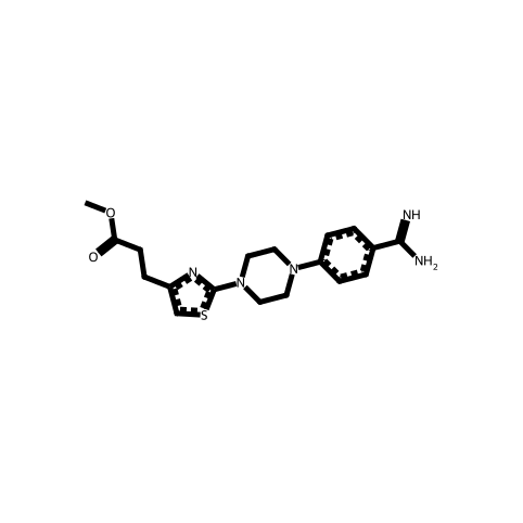 COC(=O)CCc1csc(N2CCN(c3ccc(C(=N)N)cc3)CC2)n1